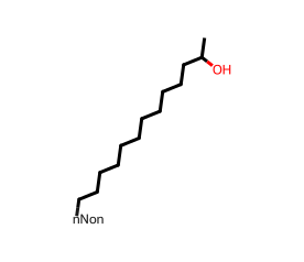 CCCCCCCCCCCCCCCCCCCCC(C)O